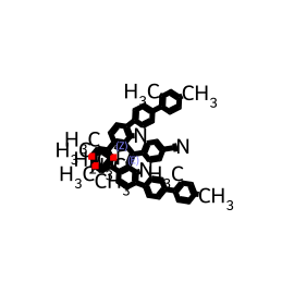 C=N/C=C\C(=C/C)c1c(-n2c3cc(-c4ccc(C)cc4C)ccc3c3ccc(-c4ccc(C)cc4C)cc32)cc(C#N)cc1-n1c2cc(-c3ccc(C)cc3C)ccc2c2ccc(-c3ccc(C)cc3C)cc21